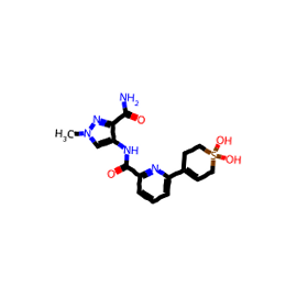 Cn1cc(NC(=O)c2cccc(C3=CCS(O)(O)CC3)n2)c(C(N)=O)n1